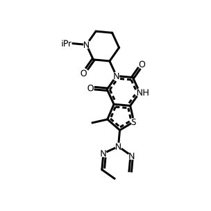 C=NN(/N=C\C)c1sc2[nH]c(=O)n(C3CCCN(C(C)C)C3=O)c(=O)c2c1C